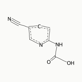 N#Cc1ccc(NC(=O)O)nc1